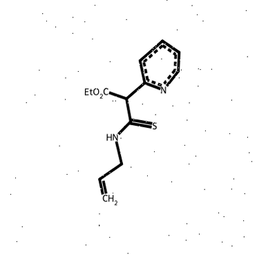 C=CCNC(=S)C(C(=O)OCC)c1ccccn1